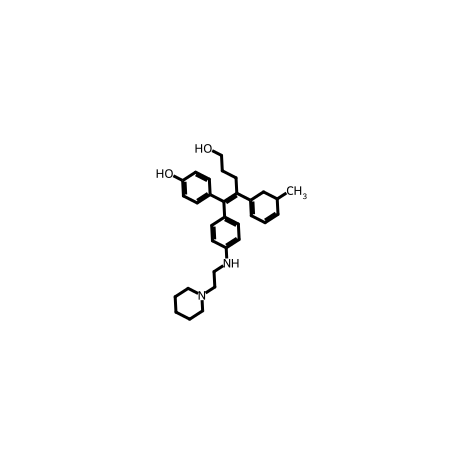 CC1C=CC=C(/C(CCCO)=C(/c2ccc(O)cc2)c2ccc(NCCN3CCCCC3)cc2)C1